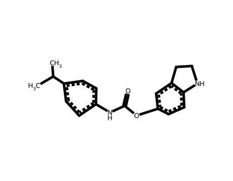 CC(C)c1ccc(NC(=O)Oc2ccc3c(c2)CCN3)cc1